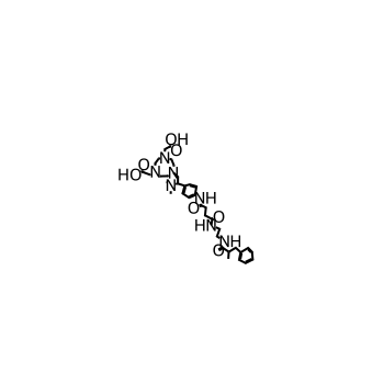 CC(Cc1ccccc1)C(=O)NCCNC(=O)CCC(=O)Nc1ccc(C(CN2CCN(CC(=O)O)CCN(CC(=O)O)CC2)N(C)C)cc1